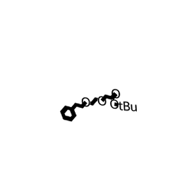 CC(C)(C)OC(=O)COCCOCCc1ccccc1